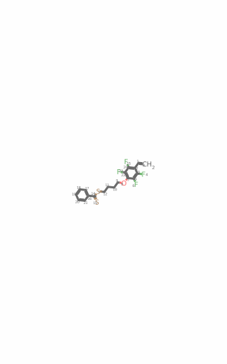 C=Cc1c(F)c(F)c(OCCCCSC(=S)c2ccccc2)c(F)c1F